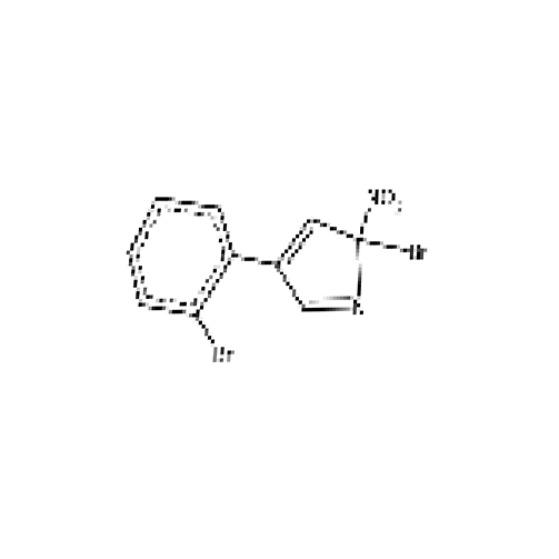 O=[N+]([O-])C1(Br)C=C(c2ccccc2Br)C=N1